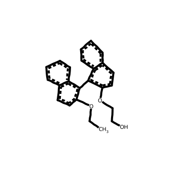 CCOc1ccc2ccccc2c1-c1c(OCCO)ccc2ccccc12